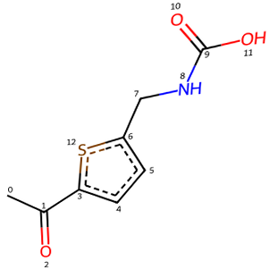 CC(=O)c1ccc(CNC(=O)O)s1